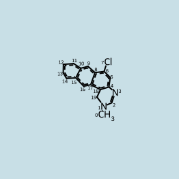 CN1C=Nc2cc(Cl)c3cc4ccccc4cc3c2C1